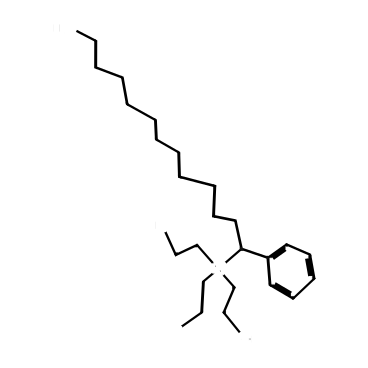 CCCCCCCCCCCCC(c1ccccc1)[N+](CCO)(CCO)CCO